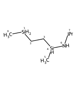 C[SiH2]CC[SiH](C)NC(C)C